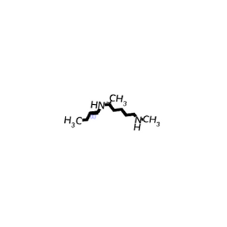 CC/C=C/N[C@H](C)CCCCNC